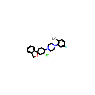 Cl.N#Cc1ccc(F)cc1N1CCN(C2CCC3(CC2)OCc2ccccc23)CC1